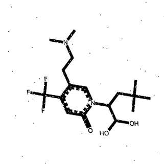 CN(C)CCc1cn(C(CC(C)(C)C)C(O)O)c(=O)cc1C(F)(F)F